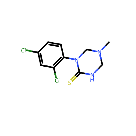 CN1CNC(=S)N(c2ccc(Cl)cc2Cl)C1